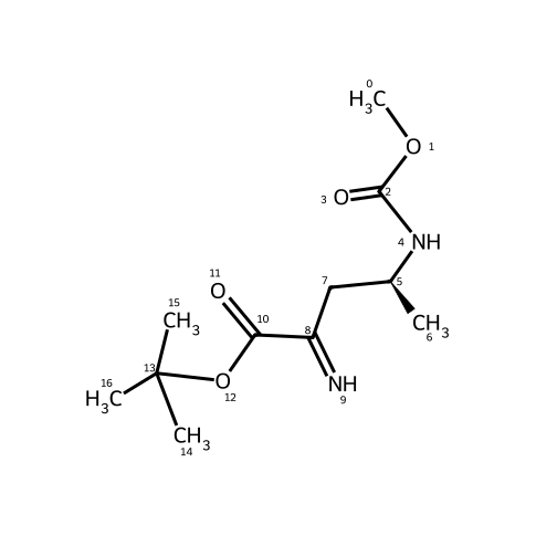 COC(=O)N[C@@H](C)CC(=N)C(=O)OC(C)(C)C